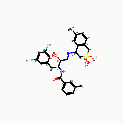 Cc1cccc(C(=O)N[C@@H](Cc2cc(F)cc(F)c2)[C@@H](O)CNC2CS(O)(O)Cc3ccc(C(C)C)cc32)c1